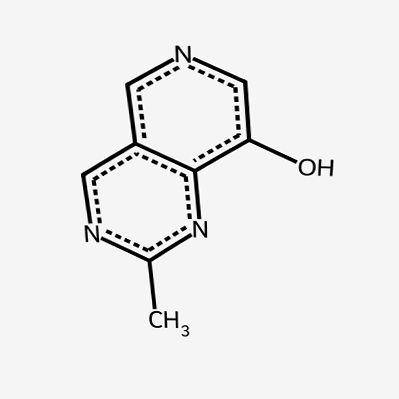 Cc1ncc2cncc(O)c2n1